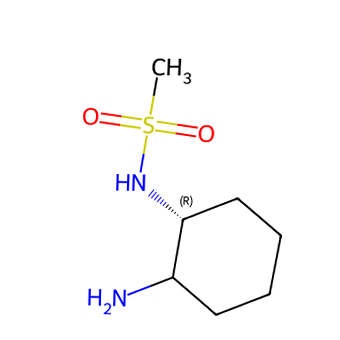 CS(=O)(=O)N[C@@H]1CCCCC1N